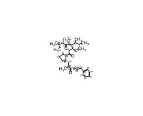 CCC(C)C(C(CC(=O)N1CCC[C@H]1CC(C)C(=O)NCCc1ccccc1)OC)N(C)C(=O)CC(C)C